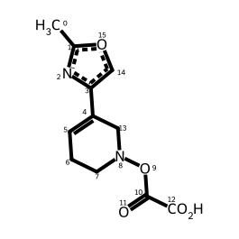 Cc1nc(C2=CCCN(OC(=O)C(=O)O)C2)co1